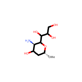 CO[C@@H]1CC(O)[C@@H](N)C(C(O)C(O)CO)O1